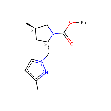 Cc1ccn(C[C@@H]2C[C@@H](C)CN2C(=O)OC(C)(C)C)n1